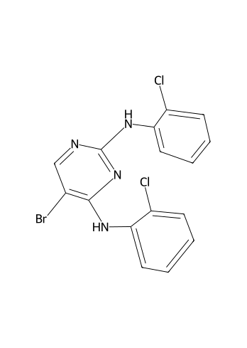 Clc1ccccc1Nc1ncc(Br)c(Nc2ccccc2Cl)n1